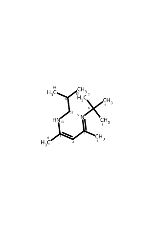 CC(=CC(C)=NC(C)(C)C)NCC(C)C